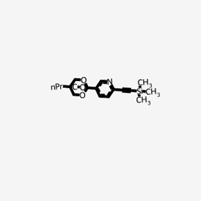 CCCC12COC(c3ccc(C#C[Si](C)(C)C)nc3)(OC1)OC2